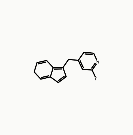 Fc1cc(CC2=C3C=CCC=C3C=C2)ccn1